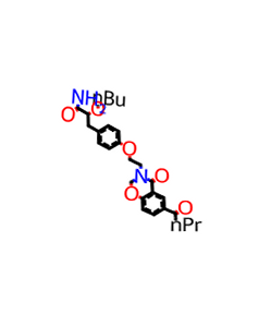 CCCCOC(Cc1ccc(OCCN2COc3ccc(C(=O)CCC)cc3C2=O)cc1)C(N)=O